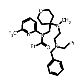 CCC(=O)N(CC1(N(C)CCN(Cc2ccccc2)CC(C)C)CCOCC1)c1cccc(C(F)(F)F)n1